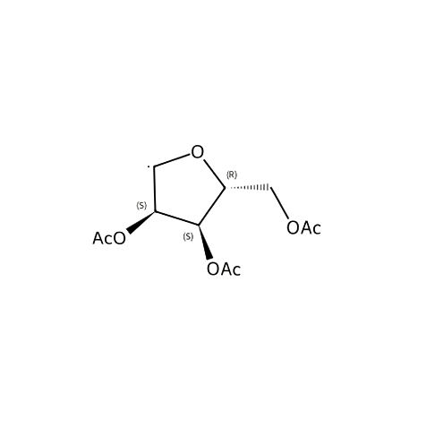 CC(=O)OC[C@H]1O[CH][C@H](OC(C)=O)[C@@H]1OC(C)=O